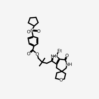 CCn1nc(CC(C)(C)COC(=O)c2ccc(S(=O)(=O)C3CCCC3)cc2)c2c1C(=O)NCC1(CCOCC1)C2